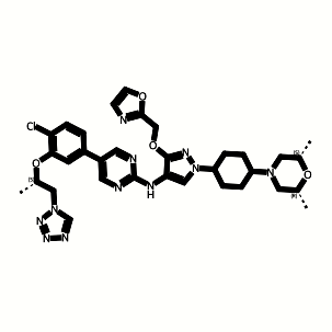 C[C@@H]1CN(C2CCC(n3cc(Nc4ncc(-c5ccc(Cl)c(O[C@@H](C)Cn6cnnn6)c5)cn4)c(OCc4ncco4)n3)CC2)C[C@H](C)O1